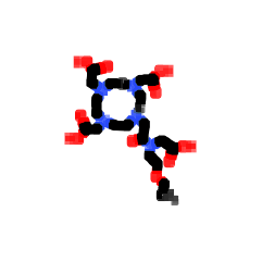 CCOCCN(CC(=O)O)C(=O)CN1CCN(CC(=O)O)CCN(CC(=O)O)CCN(CC(=O)O)CC1